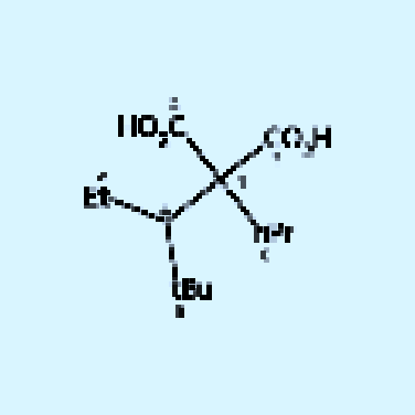 CCCC(C(=O)O)(C(=O)O)C(CC)C(C)(C)C